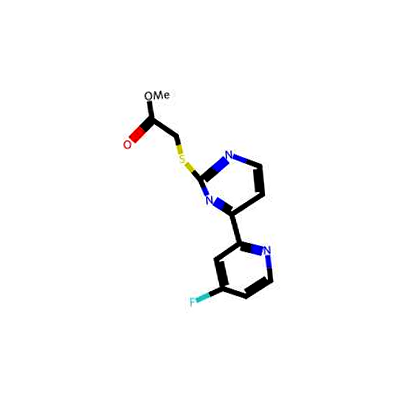 COC(=O)CSc1nccc(-c2cc(F)ccn2)n1